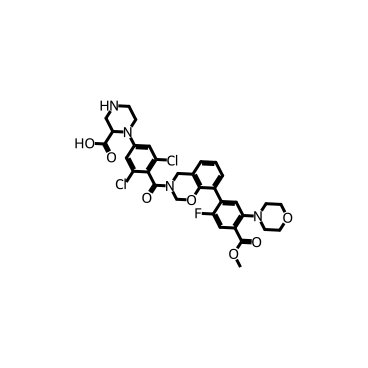 COC(=O)c1cc(F)c(-c2cccc3c2OCN(C(=O)c2c(Cl)cc(N4CCNCC4C(=O)O)cc2Cl)C3)cc1N1CCOCC1